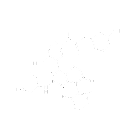 Cc1cccc(CC(=O)Nc2ccc(C)c(-c3nc(NC(CO)CO)nc4c3ccc(=O)n4-c3c(F)cccc3F)c2)c1